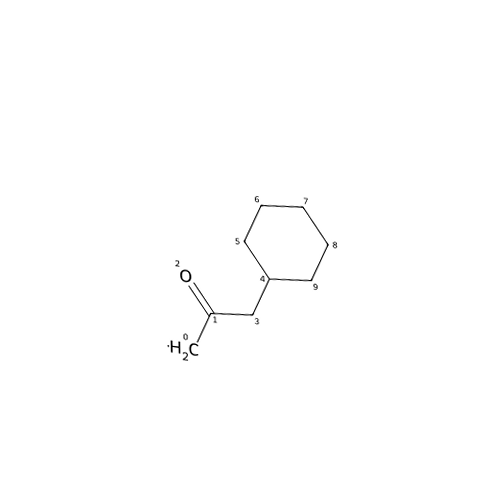 [CH2]C(=O)CC1CCCCC1